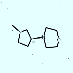 CN1CC[C@H](N2CCOCC2)C1